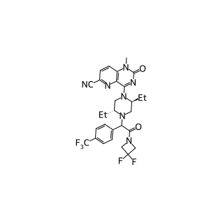 CC[C@H]1CN(C(C(=O)N2CC(F)(F)C2)c2ccc(C(F)(F)F)cc2)[C@H](CC)CN1c1nc(=O)n(C)c2ccc(C#N)nc12